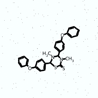 CN1C(=S)SC(c2ccc(Oc3ccccc3)cc2)N(C)C1c1ccc(Oc2ccccc2)cc1